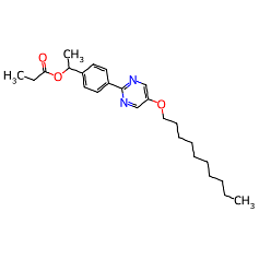 CCCCCCCCCCOc1cnc(-c2ccc(C(C)OC(=O)CC)cc2)nc1